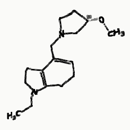 CCN1CCC2=C1CCC=C2CN1CC[C@H](OC)C1